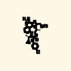 CCOCc1nc2c(N)nc3ccccc3c2n1[C@H](C)COP(=O)(N[C@@H](C)C1CC1)Oc1ccc(Cl)cc1